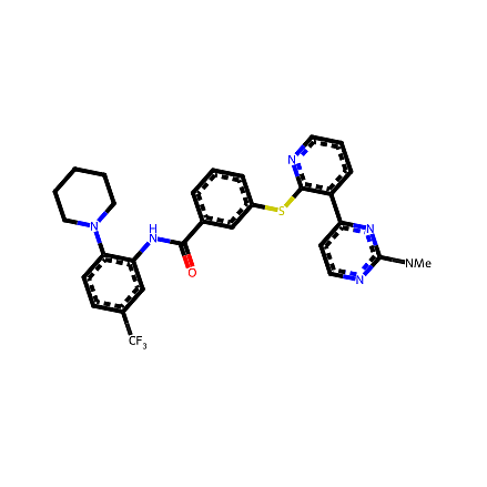 CNc1nccc(-c2cccnc2Sc2cccc(C(=O)Nc3cc(C(F)(F)F)ccc3N3CCCCC3)c2)n1